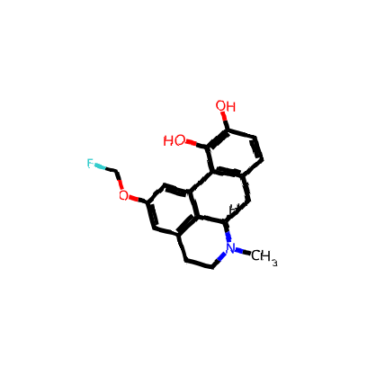 CN1CCc2cc(OCF)cc3c2[C@H]1Cc1ccc(O)c(O)c1-3